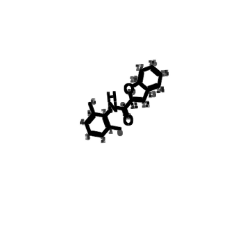 Cc1cccc(C)c1NC(=O)c1cc2ccccc2o1